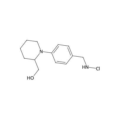 OCC1CCCCN1c1ccc(CNCl)cc1